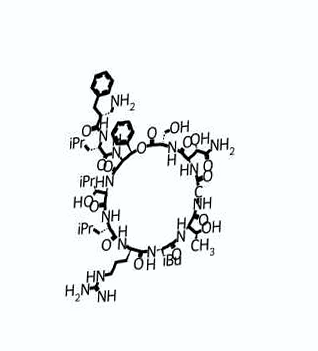 CC[C@H](C)[C@@H]1NC(=O)[C@@H](CCCNC(=N)N)NC(=O)[C@H](CC(C)C)NC(=O)[C@H]([C@H](O)C(C)C)NC(=O)[C@@H](NC(=O)[C@H](CC(C)C)NC(=O)[C@@H](CN)Cc2ccccc2)[C@@H](c2ccccc2)OC(=O)[C@H](CO)NC(=O)[C@H]([C@H](O)C(N)=O)NC(=O)CNC(=O)[C@H]([C@H](C)O)NC1=O